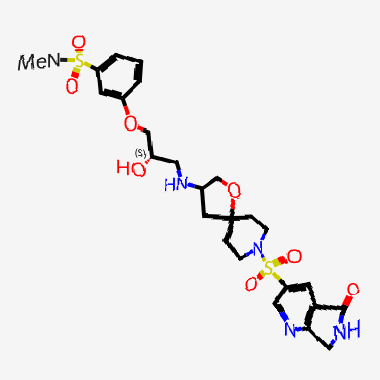 CNS(=O)(=O)c1cccc(OC[C@@H](O)CNC2COC3(CCN(S(=O)(=O)c4cnc5c(c4)C(=O)NC5)CC3)C2)c1